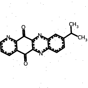 CC(C)c1ccc2nc3c(nc2c1)C(=O)c1ncccc1C3=O